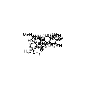 CNC(=N)N[C@]12CCC(C)(C)C[C@@H]1[C@H]1C(=O)C=C3[C@@]4(C)C=C(C#N)C(=O)C(C)(C)[C@@H]4CC[C@@]3(C)[C@]1(C)CC2